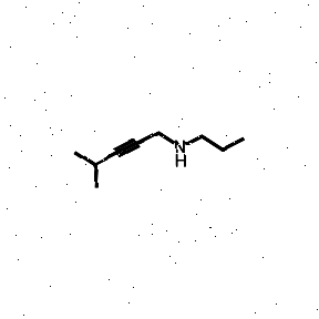 CCCNCC#CC(C)C